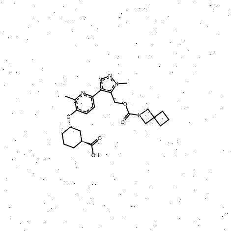 Cc1nc(-c2nnn(C)c2COC(=O)N2CC3(CCC3)C2)ccc1O[C@H]1CCC[C@H](C(=O)O)C1